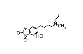 CN(CCI)CCCCc1ccc2c(c1)sc(=O)n2C.Cl